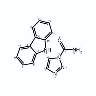 NC(=O)n1ccnn1.c1ccc2c(c1)[nH]c1ccccc12